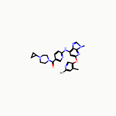 Cc1cc(C#N)ncc1Oc1cc(Nc2ccc(C(=O)N3CCN(C4CC4)CC3)cn2)c2ncn(C)c2n1